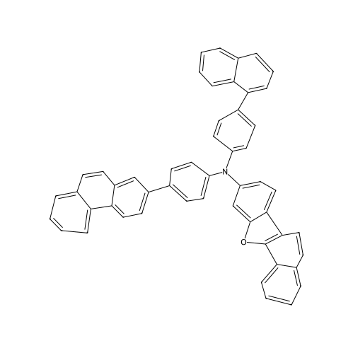 c1ccc2c(-c3ccc(N(c4ccc(-c5ccc6c(ccc7ccccc76)c5)cc4)c4ccc5c(c4)oc4c6ccccc6ccc54)cc3)cccc2c1